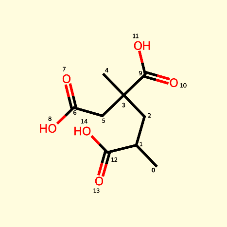 CC(CC(C)(CC(=O)O)C(=O)O)C(=O)O